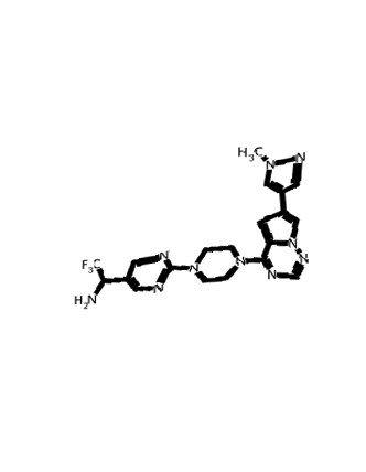 Cn1cc(-c2cc3c(N4CCN(c5ncc(C(N)C(F)(F)F)cn5)CC4)ncnn3c2)cn1